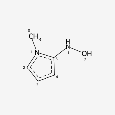 Cn1cccc1NO